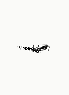 CCOc1ccc(-c2nc(CC(=O)N[C@@H](CC(C)Cc3cccc(-c4nc(CC(=O)NC(C)(C(=O)O)C(C)C)cs4)c3Cl)C(=O)O)cs2)cc1